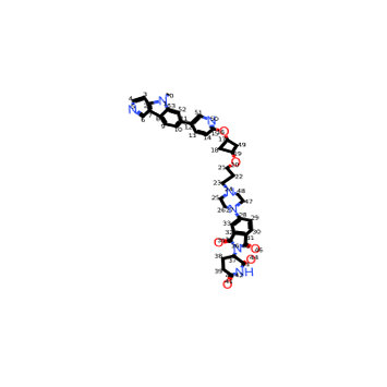 Cn1c2ccncc2c2ccc(-c3ccc(OC4CC(OCCCN5CCN(c6ccc7c(c6)C(=O)N(C6CCC(=O)NC6=O)C7=O)CC5)C4)nc3)cc21